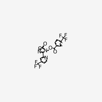 O=C(OCn1c(-c2cc(C(F)(F)F)ccn2)noc1=O)c1ccc(C(F)(F)F)cc1